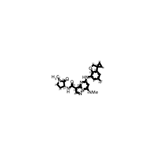 CNc1cc(Nc2cc(F)cc3c2OCC32CC2)nc2c(C(=O)N[C@@H]3CCN(C)C3=O)cnn12